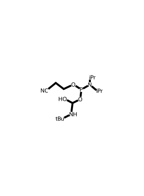 CC(C)N(C(C)C)P(OCCC#N)OC(O)NC(C)(C)C